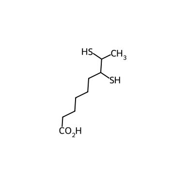 CC(S)C(S)CCCCCC(=O)O